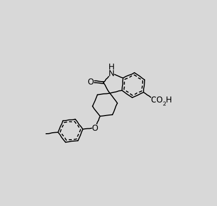 Cc1ccc(OC2CCC3(CC2)C(=O)Nc2ccc(C(=O)O)cc23)cc1